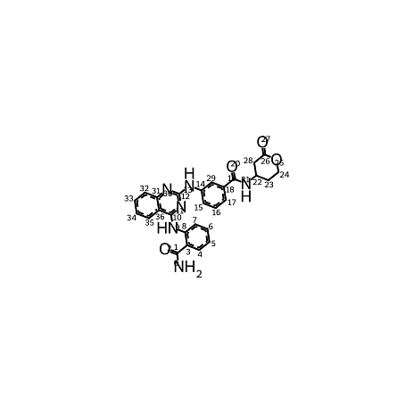 NC(=O)c1ccccc1Nc1nc(Nc2cccc(C(=O)NC3CCOC(=O)C3)c2)nc2ccccc12